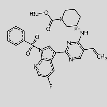 C=Cc1cnc(-c2cn(S(=O)(=O)c3ccccc3)c3ncc(F)cc23)nc1N[C@H]1CCCN(C(=O)OC(C)(C)C)C1